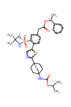 CC(C)OC(=O)NC12CCC(c3ncc(-c4ccc(CC(=O)O[C@@H](C)c5ccccc5)cc4S(=O)(=O)NC(C)(C)C)s3)(CC1)CC2